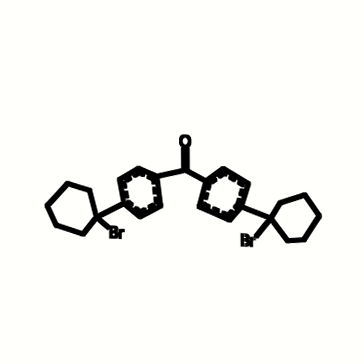 O=C(c1ccc(C2(Br)CCCCC2)cc1)c1ccc(C2(Br)CCCCC2)cc1